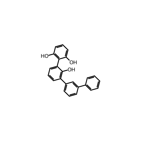 Oc1cccc(O)c1-c1cccc(-c2cccc(-c3ccccc3)c2)c1O